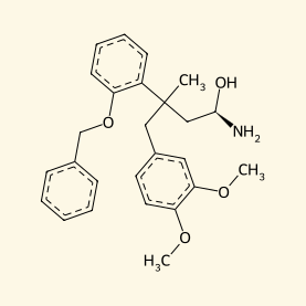 COc1ccc(CC(C)(C[C@H](N)O)c2ccccc2OCc2ccccc2)cc1OC